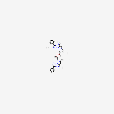 CCCC1Cc2c(C)nc3c(-c4c(C)cc(C)cc4C)c(C)nn3c2N1CCC(CC)OC(CC)CCN1c2c(c(C)nc3c(-c4c(C)cc(C)cc4C)c(C)nn23)CC1CCC